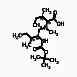 CC[C@H](C)[C@@H](C(=O)O)N(C)C[C@@H](NC(=O)OC(C)(C)C)[C@@H](C)CC